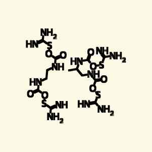 CC(CNC(=O)OSC(=N)N)NC(=O)OSC(=N)N.N=C(N)SOC(=O)NCCNC(=O)OSC(=N)N